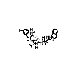 CC(C)[C@H](NC(=O)NNC(=O)[C@@H](N)Cc1ccc2ccccc2c1)C(=O)N[C@@H](Cc1cccc(F)c1)C(N)=O